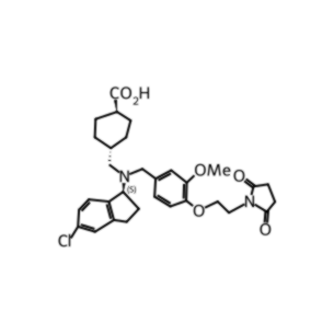 COc1cc(CN(C[C@H]2CC[C@H](C(=O)O)CC2)[C@H]2CCc3cc(Cl)ccc32)ccc1OCCN1C(=O)CCC1=O